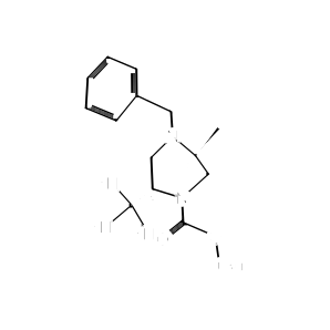 [2H]C([2H])([2H])[C@@H]1CN(Cc2ccccc2)[C@@H](C)CN1C(=O)OC(C)(C)C